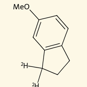 [2H]C1([2H])CCc2ccc(OC)cc21